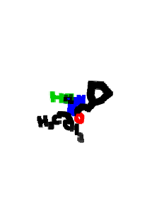 CCC(CC)NC(=O)[C@H](N)CC1CCCCC1.Cl